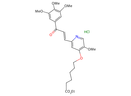 CCOC(=O)CCCCCOc1cc(C=CC(=O)c2cc(OC)c(OC)c(OC)c2)ncc1OC.Cl